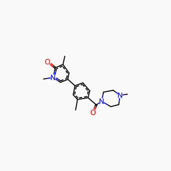 Cc1cc(-c2cc(C)c(=O)n(C)c2)ccc1C(=O)N1CCN(C)CC1